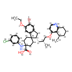 CCOc1cc2c(cc1Br)C[C@H](C[C@@H](C)COc1ccnc3c1[C@H](C)CCC3)C21CCC(Nc2cccc(Cl)c2)(C(=O)O)CC1